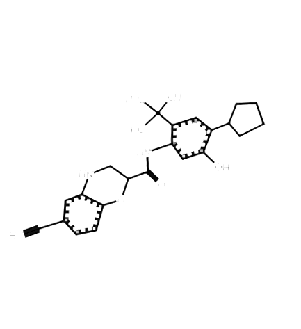 C#Cc1ccc2c(c1)NCC(C(=O)Nc1cc(O)c(C3CCCC3)cc1C(C)(C)C)O2